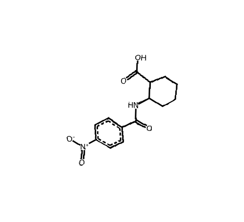 O=C(NC1CCCCC1C(=O)O)c1ccc([N+](=O)[O-])cc1